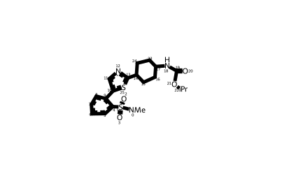 CNS(=O)(=O)c1ccccc1-c1cnc(C2CCC(NC(=O)OC(C)C)CC2)s1